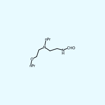 CCCOCCN(CCC)CCNC=O